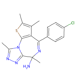 Cc1sc2c(c1C)C(c1ccc(Cl)cc1)=NC(C)(N)c1nnc(C)n1-2